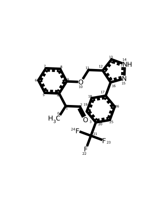 CC(C=O)c1ccccc1OCc1c[nH]nc1-c1ccc(C(F)(F)F)cc1